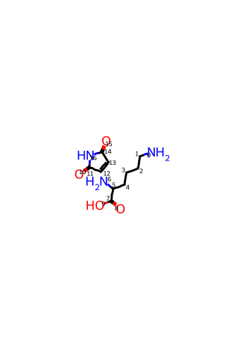 NCCCCC(N)C(=O)O.O=C1C=CC(=O)N1